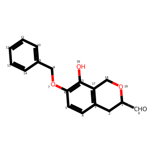 O=CC1Cc2ccc(OCc3ccccc3)c(O)c2CO1